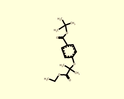 CCOC(=O)C(C)(C)Oc1ccc(C(=O)OC(C)(C)C)cc1